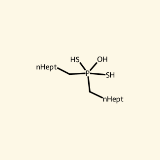 CCCCCCCCP(O)(S)(S)CCCCCCCC